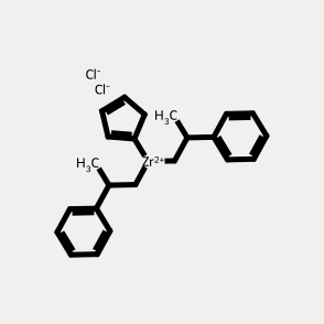 CC([CH2][Zr+2]([CH2]C(C)c1ccccc1)[C]1=CC=CC1)c1ccccc1.[Cl-].[Cl-]